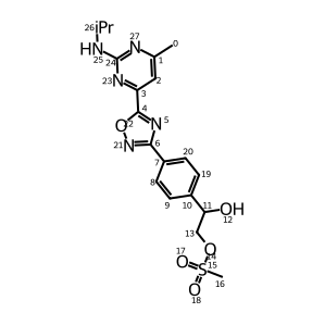 Cc1cc(-c2nc(-c3ccc(C(O)COS(C)(=O)=O)cc3)no2)nc(NC(C)C)n1